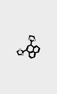 C1=C(C2=NCCO2)c2cccc3cccc(c23)C1C1=NCCO1